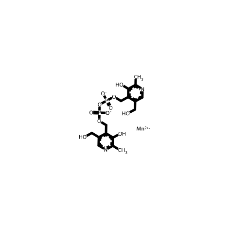 Cc1ncc(CO)c(COP(=O)([O-])OP(=O)([O-])OCc2c(CO)cnc(C)c2O)c1O.[Mn+2]